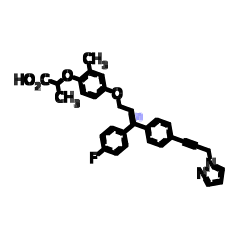 Cc1cc(OC/C=C(\c2ccc(F)cc2)c2ccc(C#CCn3cccn3)cc2)ccc1OC(C)C(=O)O